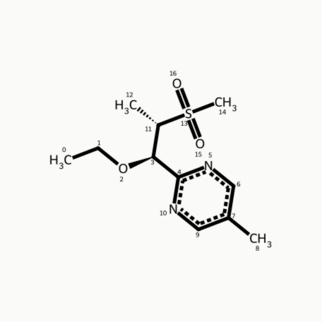 CCO[C@H](c1ncc(C)cn1)[C@H](C)S(C)(=O)=O